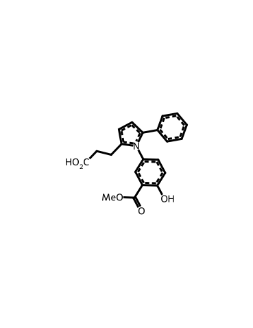 COC(=O)c1cc(-n2c(CCC(=O)O)ccc2-c2ccccc2)ccc1O